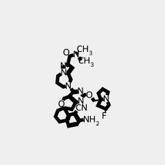 CN(C)C(=O)c1cc2n(n1)CCCN(c1nc(OC[C@@]34CCCN3C[C@H](F)C4)nc3c1COC1(CCCc4ccc(N)c(C#N)c41)C3)C2